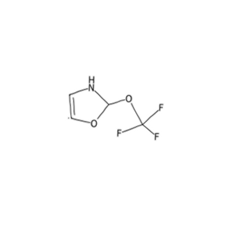 FC(F)(F)OC1NC=[C]O1